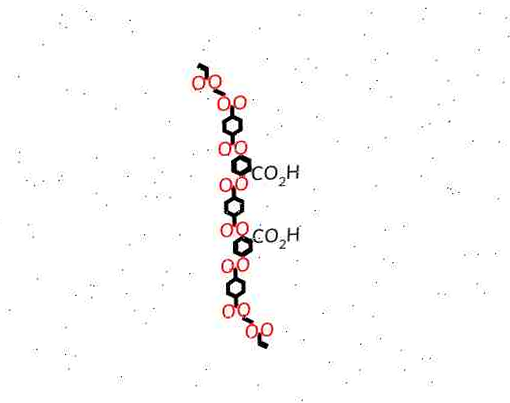 C=CC(=O)OCCOC(=O)C1CCC(C(=O)Oc2ccc(OC(=O)C3CCC(C(=O)Oc4ccc(OC(=O)C5CCC(C(=O)OCCOC(=O)C=C)CC5)cc4C(=O)O)CC3)c(C(=O)O)c2)CC1